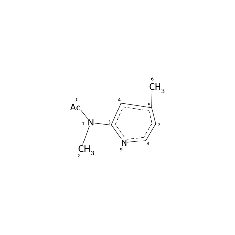 CC(=O)N(C)c1cc(C)ccn1